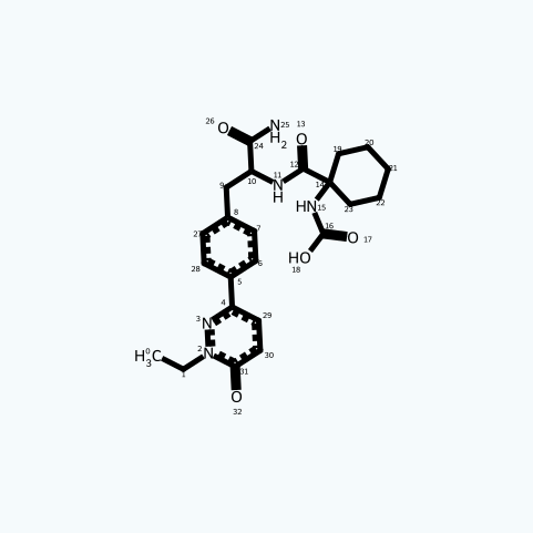 CCn1nc(-c2ccc(CC(NC(=O)C3(NC(=O)O)CCCCC3)C(N)=O)cc2)ccc1=O